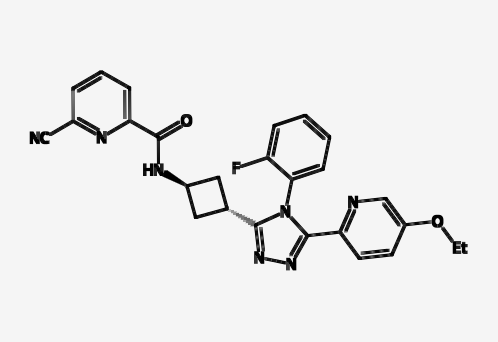 CCOc1ccc(-c2nnc([C@H]3C[C@H](NC(=O)c4cccc(C#N)n4)C3)n2-c2ccccc2F)nc1